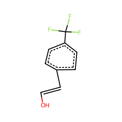 OC=Cc1ccc(C(F)(F)F)cc1